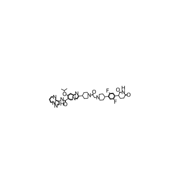 CC(C)Oc1cc2nc(C3CCN(C(=O)CN4CCC(c5cc(F)c(C6CCC(=O)NC6=O)cc5F)CC4)CC3)cn2cc1C(=O)Nc1cnn2cccnc12